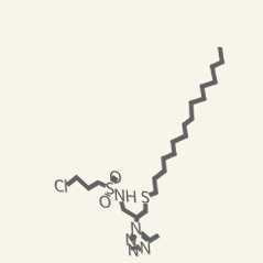 CCCCCCCCCCCCCCCCSCC(CNS(=O)(=O)CCCCl)n1nnnc1C